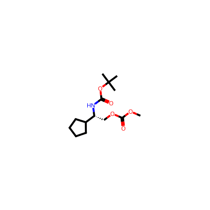 COC(=O)OC[C@@H](NC(=O)OC(C)(C)C)C1CCCC1